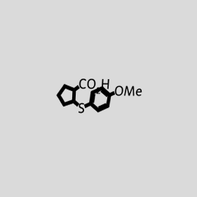 COc1ccc(SC2CCCC2C(=O)O)cc1